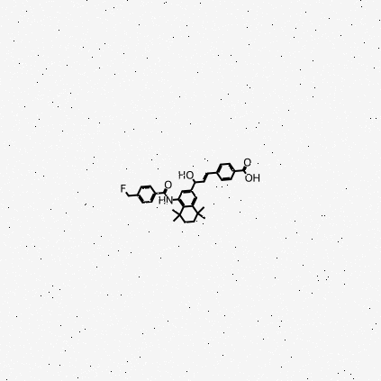 CC1(C)CCC(C)(C)c2c(NC(=O)c3ccc(CF)cc3)cc(C(O)C=Cc3ccc(C(=O)O)cc3)cc21